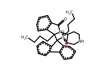 CCCCC1(C2(S(=O)(=O)CCCC)c3ccccc3-c3ccccc32)c2ccccc2C(=O)N1C1CCNCC1